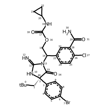 CC(C)(C)C[C@]1(c2ccc(Br)cc2)NC(=N)N(C(COC(=O)NC2CC2)c2ccc(Cl)c(C(N)=O)c2)C1=O